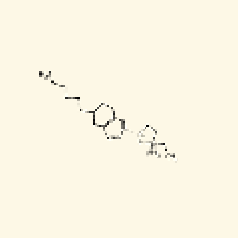 BCCCCCC1CCc2cc([C@@H]3CC[C@](N)(CC)C3)ccc2C1